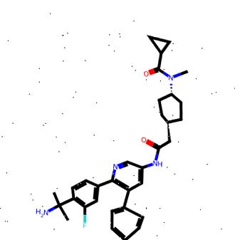 CN(C(=O)C1CC1)[C@H]1CC[C@H](CC(=O)Nc2cnc(-c3ccc(C(C)(C)N)c(F)c3)c(-c3ccccc3)c2)CC1